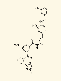 COc1cc(C(=O)N[C@@H](C)CCc2ccc(NCc3cccc(Cl)c3)c(O)c2)cc(C(=O)N2CCC[C@@H]2c2nc(C)cs2)c1